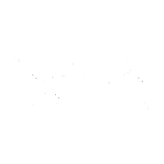 CCC(C)=NOC(=O)Nc1ccc(Cc2ccc(N=C=O)cc2)cc1